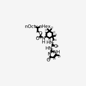 CCCCCCCCC(CCCCCC)COC(=O)NC1CC(C)(C)CC(C)(CNC(=O)Nc2nc(=O)cc(C)[nH]2)C1